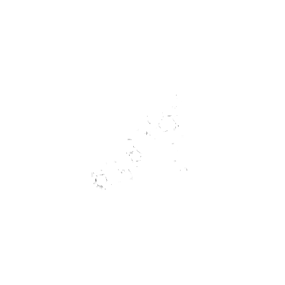 O=C(c1cc(OCC2CCOCC2)nc(C2CC2)c1)N1CCc2cc(C(=O)N3CCc4[nH]nnc4C3)nn2CC1